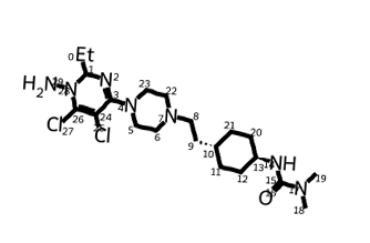 CCC1N=C(N2CCN(CC[C@H]3CC[C@H](NC(=O)N(C)C)CC3)CC2)C(Cl)=C(Cl)N1N